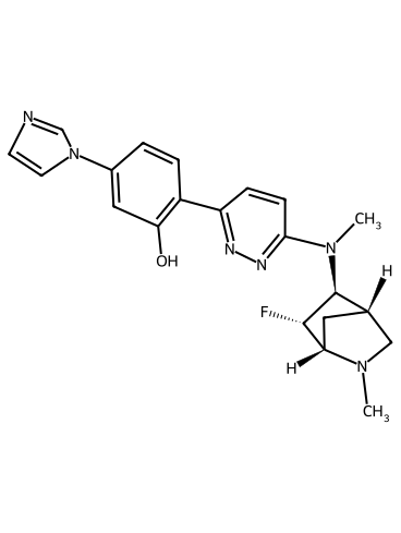 CN1C[C@@H]2C[C@H]1[C@H](F)[C@H]2N(C)c1ccc(-c2ccc(-n3ccnc3)cc2O)nn1